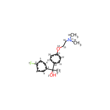 CCC(O)(c1ccc(F)cc1)c1ccc(OCCN(C)C)cc1